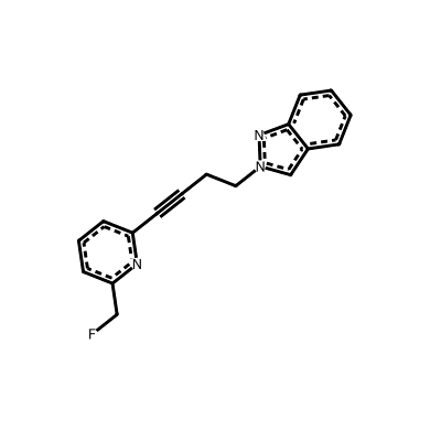 FCc1cccc(C#CCCn2cc3ccccc3n2)n1